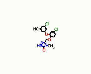 Cn1c(COc2ccc(Cl)cc2Oc2cc(Cl)cc(C#N)c2)n[nH]c1=O